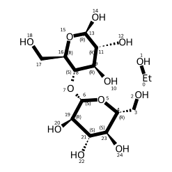 CCO.OC[C@H]1O[C@@H](O[C@H]2[C@H](O)[C@@H](O)[C@H](O)O[C@@H]2CO)[C@H](O)[C@@H](O)[C@@H]1O